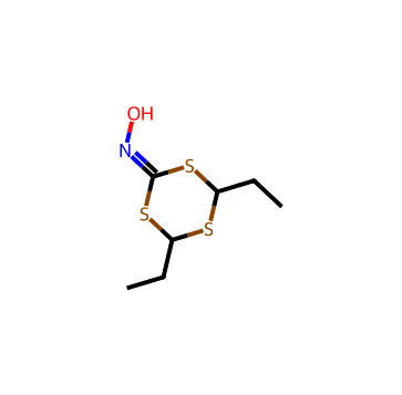 CCC1SC(=NO)SC(CC)S1